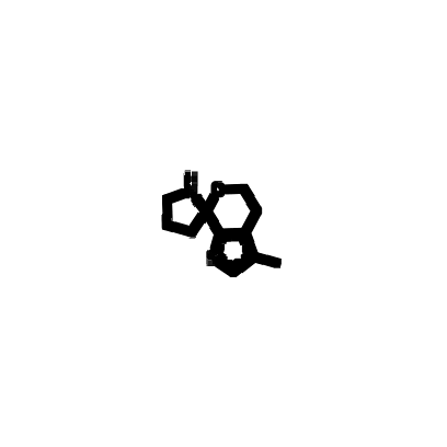 Cc1csc2c1CCOC21CCCN1